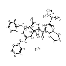 CNC(C)C(=O)N[C@H](C(=O)N1CC(=O)N2[C@@H](Cc3ccccc3)CN(CCc3ccccc3)C[C@H]12)C1CCCCC1.Cl